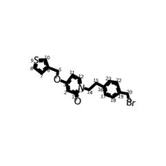 O=c1cc(OCc2ccsc2)ccn1CCc1ccc(CBr)cc1